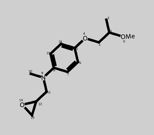 COC(C)COc1ccc(N(C)CC2CO2)cc1